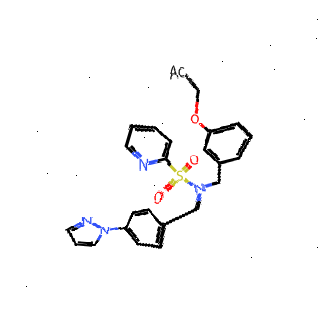 CC(=O)COc1cccc(CN(Cc2ccc(-n3cccn3)cc2)S(=O)(=O)c2ccccn2)c1